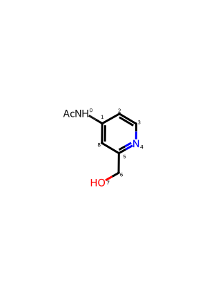 CC(=O)Nc1ccnc(CO)c1